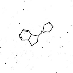 C1=CC2C(C=I1)CCC2N1CCCC1